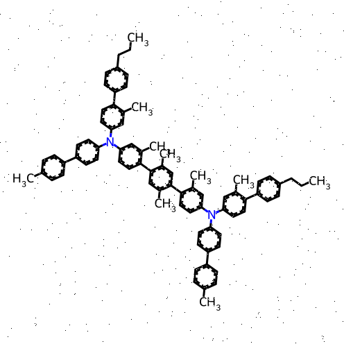 CCCc1ccc(-c2ccc(N(c3ccc(-c4ccc(C)cc4)cc3)c3ccc(-c4cc(C)c(-c5ccc(N(c6ccc(-c7ccc(C)cc7)cc6)c6ccc(-c7ccc(CCC)cc7)c(C)c6)cc5C)cc4C)c(C)c3)cc2C)cc1